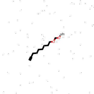 C#CCCCCCCCOCOCCC